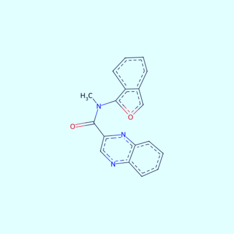 CN(C(=O)c1cnc2ccccc2n1)c1occ2ccccc12